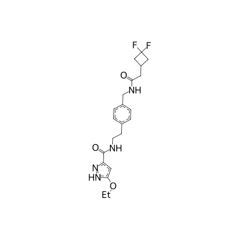 CCOc1cc(C(=O)NCCc2ccc(CNC(=O)CC3CC(F)(F)C3)cc2)n[nH]1